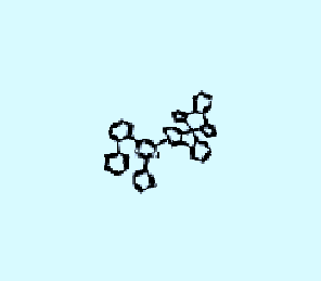 c1ccc(-c2nc(-c3ccc4c(c3)-c3ccccc3C43c4ccccc4-c4ccccc4-c4ccccc43)cc(-c3ccccc3-c3ccccc3)n2)cc1